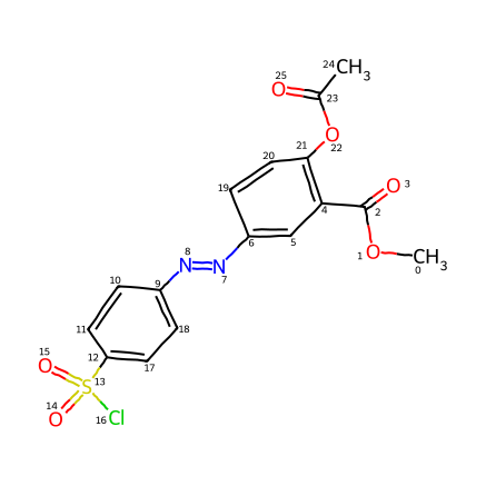 COC(=O)c1cc(N=Nc2ccc(S(=O)(=O)Cl)cc2)ccc1OC(C)=O